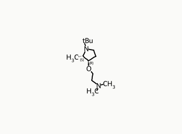 C[C@H]1[C@H](OCCN(C)C)CCN1C(C)(C)C